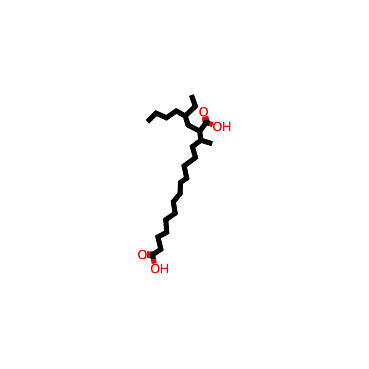 CCCCC(CC)CC(C(=O)O)C(C)CCCCCCCCCCCCC(=O)O